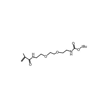 C=C(C)C(=O)NCCOCCOCCNC(=O)OC(C)(C)C